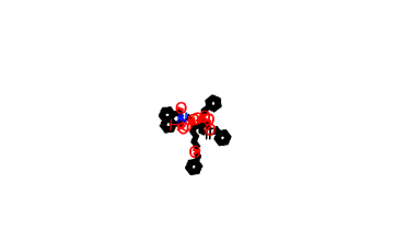 CC(C)CC(C(=O)OCc1ccccc1)(C(=O)OCc1ccccc1)C(CCCCOCc1ccccc1)P(=O)(O)CN1C(=O)c2cccc3cccc(c23)C1=O